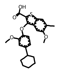 COc1cc2c(Oc3ccc(C4CCCCC4)cc3OC)c(C(=O)O)sc2cc1C